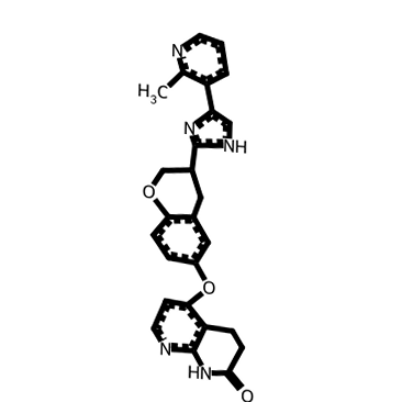 Cc1ncccc1-c1c[nH]c(C2COc3ccc(Oc4ccnc5c4CCC(=O)N5)cc3C2)n1